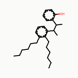 CCCCCCc1cccc(C(C)C(C)c2ccccc2O)c1CCCCCC